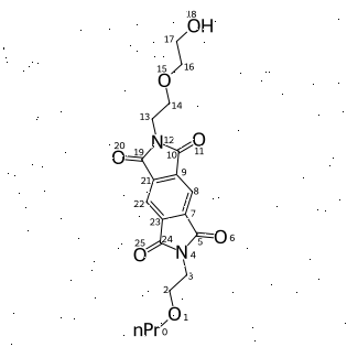 CCCOCCn1c(=O)c2cc3c(=O)n(CCOCCO)c(=O)c3cc2c1=O